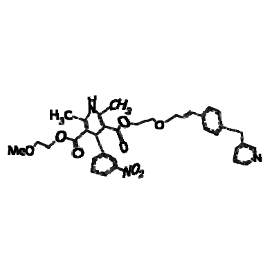 COCCOC(=O)C1=C(C)NC(C)=C(C(=O)OCCOC/C=C/c2ccc(Cc3cccnc3)cc2)C1c1cccc([N+](=O)[O-])c1